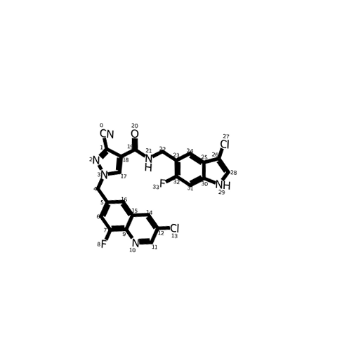 N#Cc1nn(Cc2cc(F)c3ncc(Cl)cc3c2)cc1C(=O)NCc1cc2c(Cl)c[nH]c2cc1F